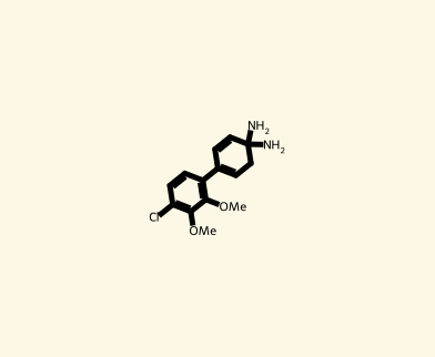 COc1c(Cl)ccc(C2=CCC(N)(N)C=C2)c1OC